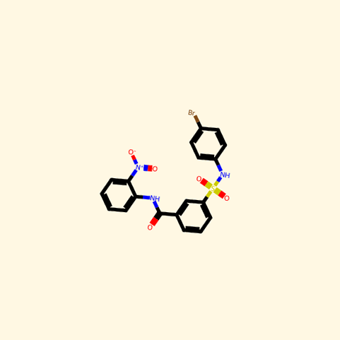 O=C(Nc1ccccc1[N+](=O)[O-])c1cccc(S(=O)(=O)Nc2ccc(Br)cc2)c1